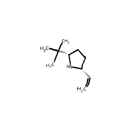 C=C[C@H]1CC[C@@H](C(C)(C)C)N1